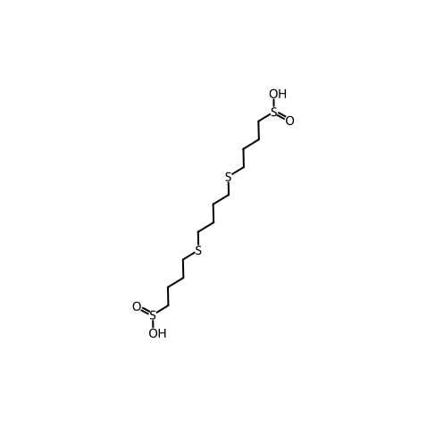 O=S(O)CCCCSCCCCSCCCCS(=O)O